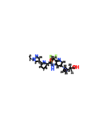 CCn1cc(-c2cccc(C(=O)Nc3cc(N4CC5(C(C)(C)O)CC4C5)cnc3C(F)(F)F)n2)cn1